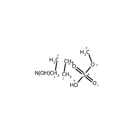 CC.CN(C)O.COS(=O)(=O)O